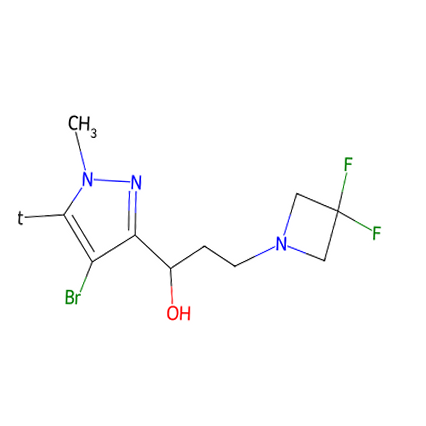 CCc1c(Br)c(C(O)CCN2CC(F)(F)C2)nn1C